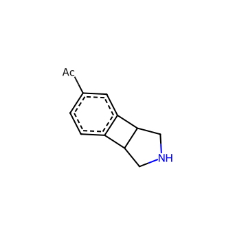 CC(=O)c1ccc2c(c1)C1CNCC21